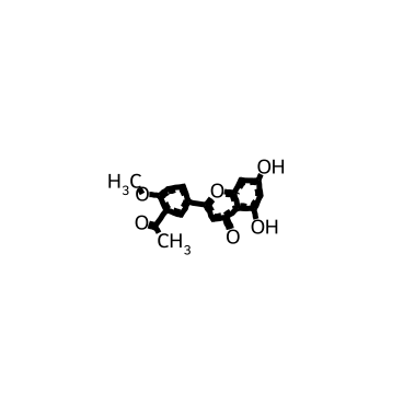 COc1ccc(-c2cc(=O)c3c(O)cc(O)cc3o2)cc1C(C)=O